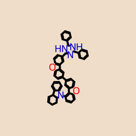 C1=CC2c3ccccc3N(c3cccc4oc5ccc(-c6ccc7oc8ccc(C9=NC(c%10ccccc%10)NC(c%10ccccc%10)N9)cc8c7c6)cc5c34)C2CC1